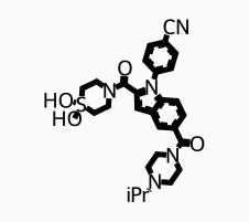 CC(C)N1CCN(C(=O)c2ccc3c(c2)cc(C(=O)N2CCS(O)(O)CC2)n3-c2ccc(C#N)cc2)CC1